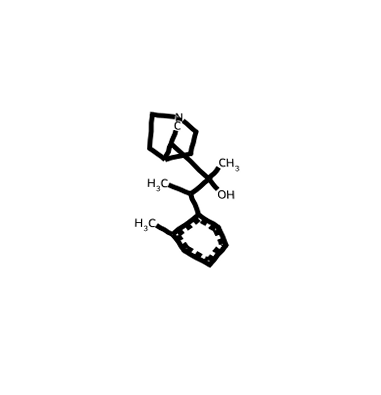 Cc1ccccc1C(C)C(C)(O)C1CN2CCC1CC2